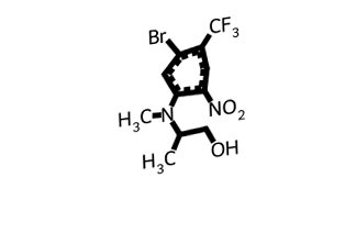 CC(CO)N(C)c1cc(Br)c(C(F)(F)F)cc1[N+](=O)[O-]